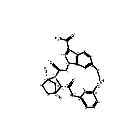 NC(=O)c1nn(CC(=O)N2[C@@H]3CC[C@@H](C3)[C@H]2C(=O)Nc2cccc(Cl)n2)c2cc(CO)ccc12